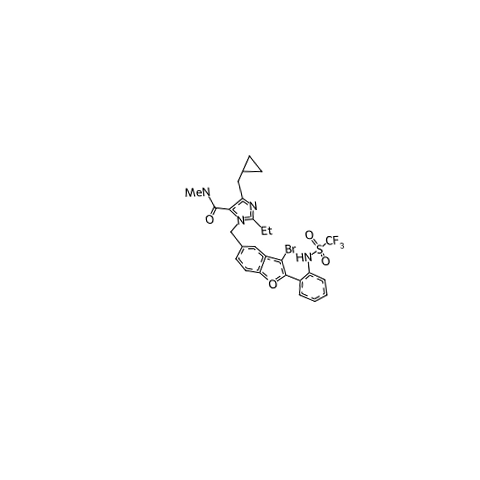 CCc1nc(CC2CC2)c(C(=O)NC)n1Cc1ccc2oc(-c3ccccc3NS(=O)(=O)C(F)(F)F)c(Br)c2c1